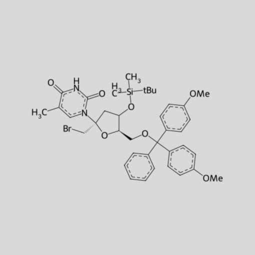 COc1ccc(C(OC[C@H]2O[C@@](CBr)(n3cc(C)c(=O)[nH]c3=O)CC2O[Si](C)(C)C(C)(C)C)(c2ccccc2)c2ccc(OC)cc2)cc1